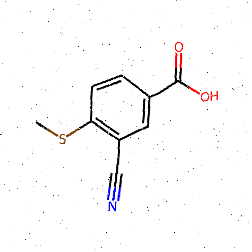 CSc1ccc(C(=O)O)cc1C#N